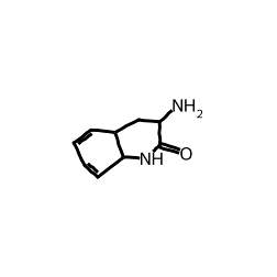 NC1CC2C=CC=CC2NC1=O